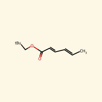 C/C=C/C=C/C(=O)OCC(C)(C)C